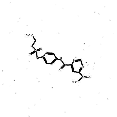 CCCCCN(CCC)c1cc(C(=O)Nc2ccc(CS(=O)(=O)CCC(=O)OCC)cc2)ncn1